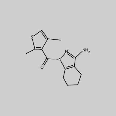 Cc1csc(C)c1C(=O)n1nc(N)c2c1CCCC2